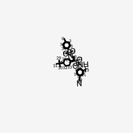 Cc1ccc(S(=O)(=O)n2cc(S(=O)(=O)Nc3ccc(C#N)cc3F)c3c2CC(C(C)(C)C)CC3)cc1